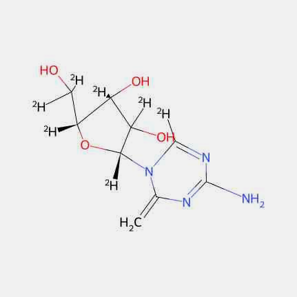 [2H]C1=NC(N)=NC(=C)N1[C@]1([2H])O[C@]([2H])(C([2H])([2H])O)[C@]([2H])(O)C1([2H])O